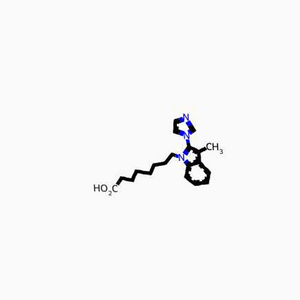 Cc1c(-n2ccnc2)n(CCCCCCCC(=O)O)c2ccccc12